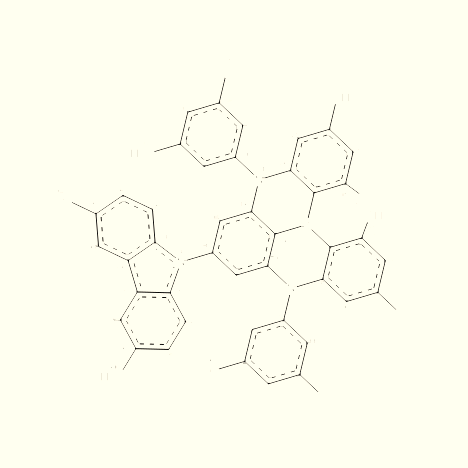 Cc1cc(C)cc(N2c3cc(C)cc(C)c3B3c4c(C)cc(C)cc4N(c4cc(C)cc(C)c4)c4cc(-n5c6ccc(C)cc6c6cc(C)ccc65)cc2c43)c1